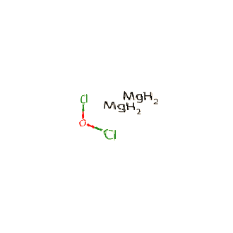 ClOCl.[MgH2].[MgH2]